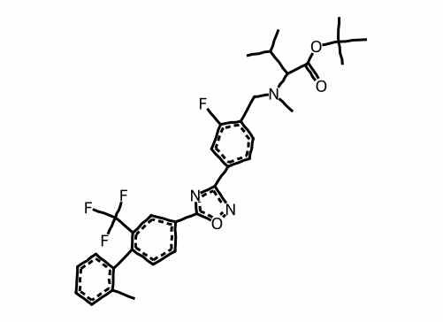 Cc1ccccc1-c1ccc(-c2nc(-c3ccc(CN(C)C(C(=O)OC(C)(C)C)C(C)C)c(F)c3)no2)cc1C(F)(F)F